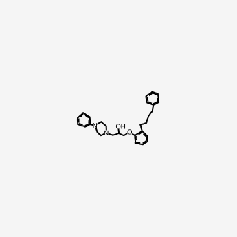 OC(COc1ccccc1CCCCc1ccccc1)CN1CCN(c2ccccc2)CC1